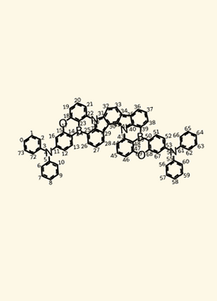 c1ccc(N(c2ccccc2)c2ccc3c(c2)Oc2cccc4c2B3c2cccc3c5c(ccc6c7cccc8c7n(c65)-c5cccc6c5B8c5ccc(N(c7ccccc7)c7ccccc7)cc5O6)n-4c23)cc1